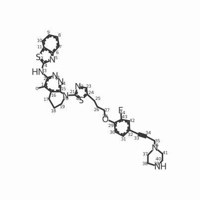 Cc1c(Nc2nc3ccccc3s2)nnc2c1CCCN2c1ncc(CCCOc2ccc(C#CCN3CCNCC3)cc2F)s1